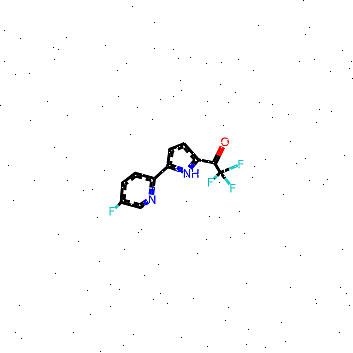 O=C(c1ccc(-c2ccc(F)cn2)[nH]1)C(F)(F)F